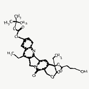 CCc1c2c(nc3ccc(OC(=O)OC(C)(C)C)cc13)-c1cc3c(c(=O)n1C2)COC(=O)[C@@]3(CC)OC(=O)CCCO